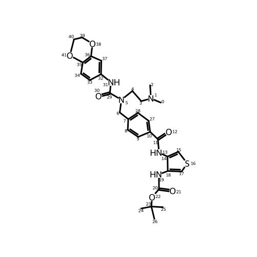 CN(C)CCN(Cc1ccc(C(=O)Nc2cscc2NC(=O)OC(C)(C)C)cc1)C(=O)Nc1ccc2c(c1)OCCO2